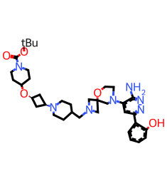 CC(C)(C)OC(=O)N1CCC(O[C@H]2C[C@H](N3CCC(CN4CC5(C4)CN(c4cc(-c6ccccc6O)nnc4N)CCO5)CC3)C2)CC1